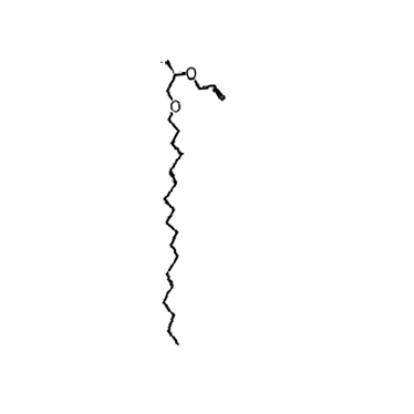 [CH2][C@H](COCCCCCCCCCCCCCCCCCC)OCC=C